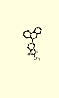 Cc1nc2cc(-c3cc4ccccc4c4ccccc34)ccc2[nH]1